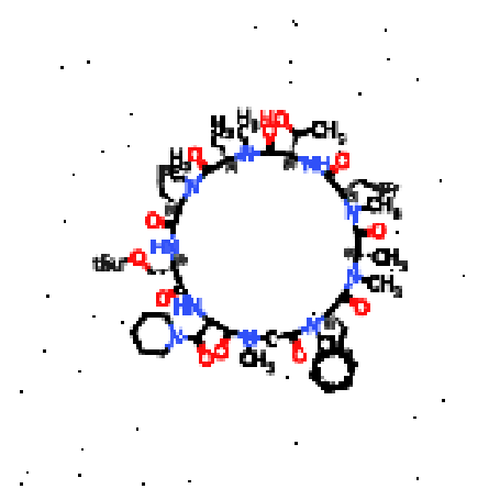 CC(C)C[C@H]1C(=O)N[C@@H](COC(C)(C)C)C(=O)NC(C(=O)N2CCCCC2)C(=O)N(C)CC(=O)N(C)[C@@H](Cc2ccccc2)C(=O)N(C)[C@@H](C)C(=O)N(C)[C@@H](CC(C)C)C(=O)N[C@@H](C(C)O)C(=O)N(C)[C@@H](C)C(=O)N1C